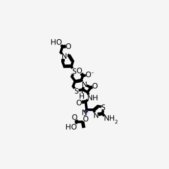 C=C(O/N=C(/C(=O)NC1C(=O)N2C(C(=O)[O-])=C(CSc3cc[n+](CC(=O)O)cc3)CS[C@H]12)c1csc(N)n1)C(=O)O